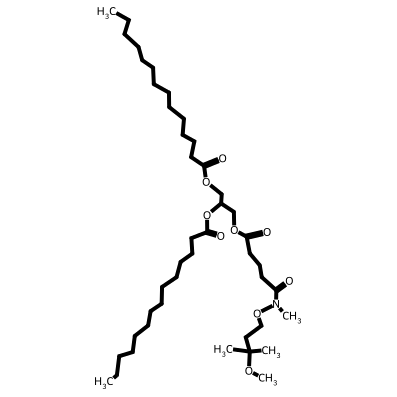 CCCCCCCCCCCCCC(=O)OCC(COC(=O)CCCC(=O)N(C)OCCC(C)(C)OC)OC(=O)CCCCCCCCCCCCC